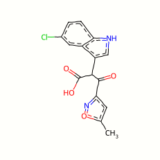 Cc1cc(C(=O)C(C(=O)O)c2c[nH]c3ccc(Cl)cc23)no1